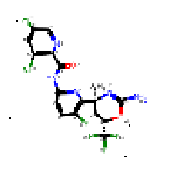 C[C@@]1(c2nc(NC(=O)c3ncc(Cl)cc3Cl)ccc2F)C[C@@H](C(F)(F)F)OC(N)=N1